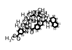 COC(=O)c1ccc2sc(NC(=O)c3ccc4c(c3)CN(C(=O)C(NC(=O)C(C)N(C)C(=O)OC(C)(C)C)C(C)(C)C)C(C(=O)N[C@@H]3CCCc5ccccc53)C4)nc2c1